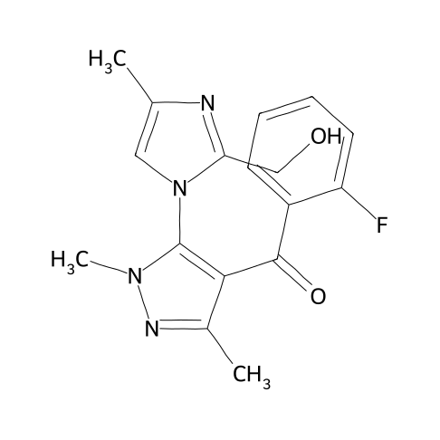 Cc1cn(-c2c(C(=O)c3ccccc3F)c(C)nn2C)c(CO)n1